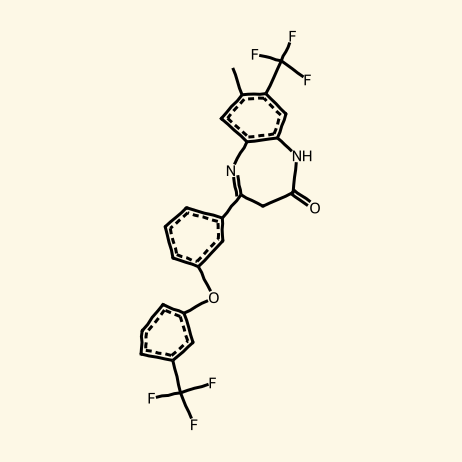 Cc1cc2c(cc1C(F)(F)F)NC(=O)CC(c1cccc(Oc3cccc(C(F)(F)F)c3)c1)=N2